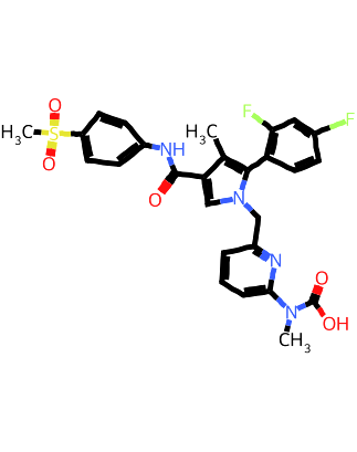 Cc1c(C(=O)Nc2ccc(S(C)(=O)=O)cc2)cn(Cc2cccc(N(C)C(=O)O)n2)c1-c1ccc(F)cc1F